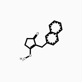 COC1=C(Cc2ccc3ccccc3c2)C(=O)CC1